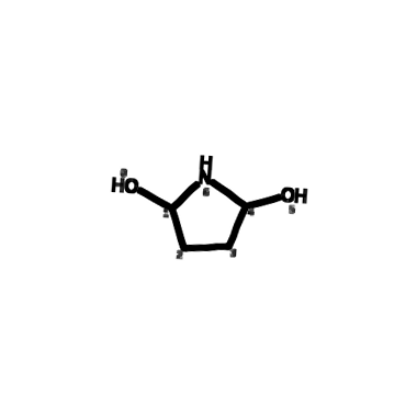 OC1CCC(O)N1